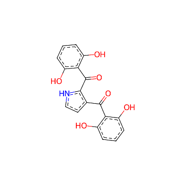 O=C(c1cc[nH]c1C(=O)c1c(O)cccc1O)c1c(O)cccc1O